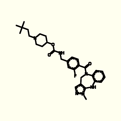 Cn1ncc2c1Nc1ccccc1N(C(=O)c1ccc(CNC(=O)OC3CCN(CCC(C)(C)C)CC3)cc1F)C2